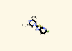 C[C@@H]1CN(c2nc3ccc(F)nc3s2)C[C@H](C)N1